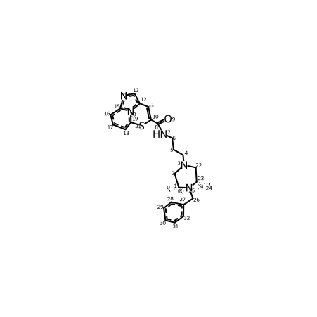 C[C@@H]1CN(CCCNC(=O)C2=Cc3cnc4cccc(n34)S2)C[C@H](C)N1Cc1ccccc1